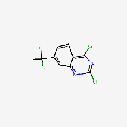 CC(F)(F)c1ccc2c(Cl)nc(Cl)nc2c1